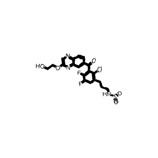 O=C(c1ccc2ncc(OCCO)nc2c1)c1c(F)c(F)cc(CCCN[SH](=O)=O)c1Cl